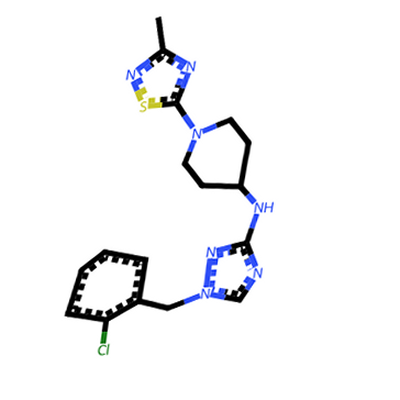 Cc1nsc(N2CCC(Nc3ncn(Cc4ccccc4Cl)n3)CC2)n1